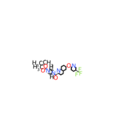 CC(C)(C)OC(=O)N1C[C@@H]2C[C@H]1CN2C(=O)c1ccc2cc(Oc3ccc(C(F)(F)F)cn3)ccc2n1